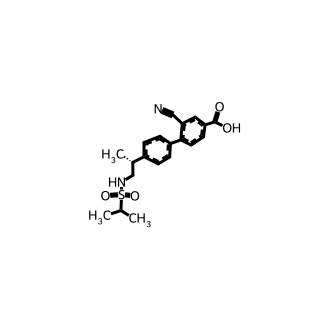 CC(C)S(=O)(=O)NC[C@H](C)c1ccc(-c2ccc(C(=O)O)cc2C#N)cc1